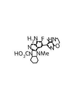 CN[C@@H]1CCCC[C@H]1N(C(=O)O)c1cc2cc(-c3cnc4c(c3C)NCCO4)c(F)c(N)c2cn1